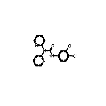 O=C(Nc1ccc(Cl)c(Cl)c1)N(c1ccccn1)c1ccccn1